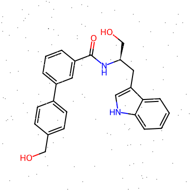 O=C(N[C@@H](CO)Cc1c[nH]c2ccccc12)c1cccc(-c2ccc(CO)cc2)c1